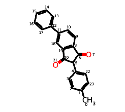 Cc1ccc(C2C(=O)c3ccc(-c4ccccc4)cc3C2=O)cc1